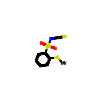 CCCSc1ccccc1S(=O)(=O)N=C=S